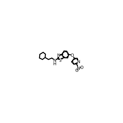 O=[N+]([O-])c1ccc(Oc2ccc3nc(NCCC4CCCCC4)sc3c2)cn1